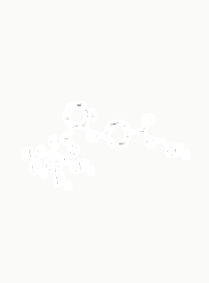 CCOC(=O)c1ccc(Oc2ncccc2B2OC(C)(C)C(C)(C)O2)cc1